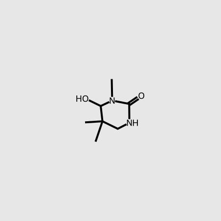 CN1C(=O)NCC(C)(C)C1O